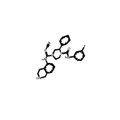 N#C/N=C(/Nc1cccc2c1CCNC2)N1CCN(C(=O)Nc2cccc(F)c2)C(c2ccccc2)C1